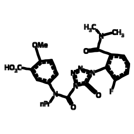 CCCN(C(=O)n1nnn(-c2c(F)cccc2C(=O)N(C)C)c1=O)c1ccc(OC)c(C(=O)O)c1